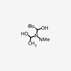 CC[C@H](C)C(O)N(NC)C(C)O